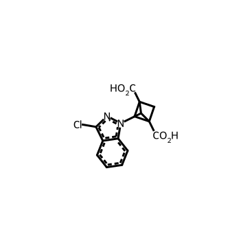 O=C(O)C12CC(C(=O)O)(C1)C2n1nc(Cl)c2ccccc21